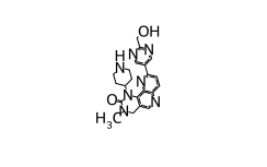 CN1Cc2cnc3ccc(-c4cnc(CO)nc4)nc3c2N(C2CCNCC2)C1=O